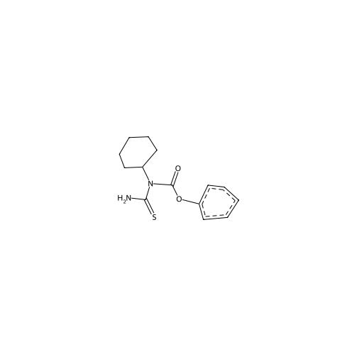 NC(=S)N(C(=O)Oc1ccccc1)C1CCCCC1